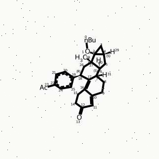 CCCCO[C@@]12C[C@@H]1C[C@H]1[C@@H]3CCC4=CC(=O)CCC4=C3[C@@H](c3ccc(C(C)=O)cc3)C[C@@]12C